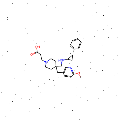 COc1ccc(CC2(CN[C@@H]3C[C@H]3c3ccccc3)CCN(CCC(=O)O)CC2)cn1